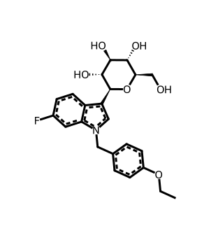 CCOc1ccc(Cn2cc([C@@H]3O[C@H](CO)[C@@H](O)[C@H](O)[C@H]3O)c3ccc(F)cc32)cc1